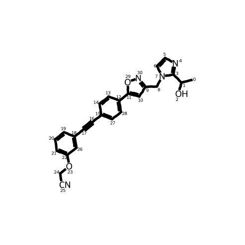 CC(O)c1nccn1Cc1cc(-c2ccc(C#Cc3cccc(OCC#N)c3)cc2)on1